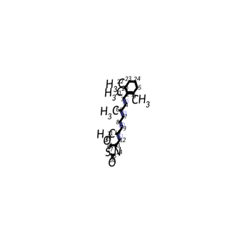 CC1=C(/C=C/C(C)=C/C=C/C(C)=C/C2=NC(=O)SC2=O)C(C)(C)CCC1